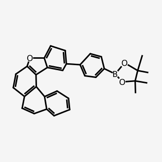 CC1(C)OB(c2ccc(-c3ccc4oc5ccc6ccc7ccccc7c6c5c4c3)cc2)OC1(C)C